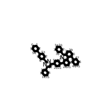 c1ccc(-c2ccc(-c3nc(-c4ccccc4)cc(-c4ccc(-c5cccc6c5nc(-c5ccccc5)c5cccc(-c7ccccc7)c56)cc4)n3)cc2)cc1